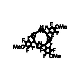 COc1c(F)c(F)c(C2=C3C=CC(=N3)C(c3c(F)c(F)c(OC)c(F)c3F)=C3C=CC(=N3)c3ccc([nH]3)C(c3c(F)c(F)c(OC)c(F)c3F)=C3C=CC2=N3)c(F)c1F